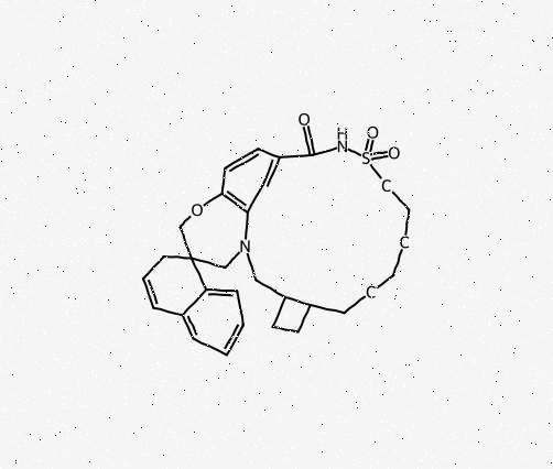 O=C1NS(=O)(=O)CCCCCCC2CCC2CN2CC3(CC=Cc4ccccc43)COc3ccc1cc32